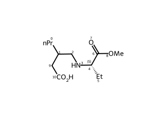 CCCC(CN[C@@H](CC)C(=O)OC)CC(=O)O